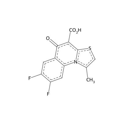 Cc1csc2c(C(=O)O)c(=O)c3cc(F)c(F)cc3n12